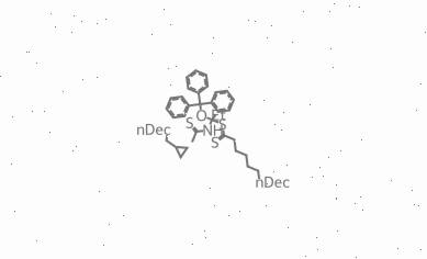 CCCCCCCCCCCC1CC1.CCCCCCCCCCCCCCCC(=S)SC(CC)(NC(C)=S)OC(c1ccccc1)(c1ccccc1)c1ccccc1